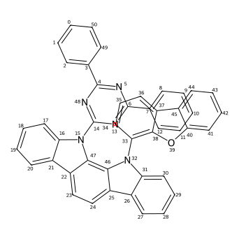 c1ccc(-c2nc(-c3ccccc3)nc(-n3c4ccccc4c4ccc5c6ccccc6n(-c6cccc7c6oc6ccccc67)c5c43)n2)cc1